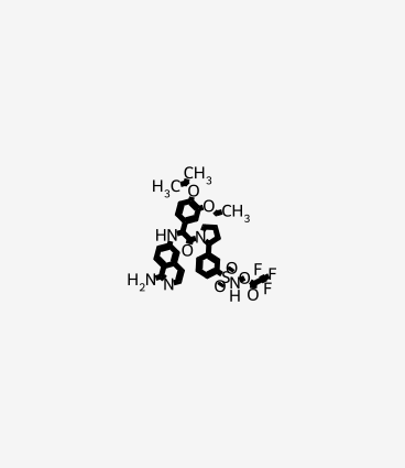 CCOc1cc(C(Nc2ccc3c(N)nccc3c2)C(=O)N2CCCC2c2cccc(S(=O)(=O)NOC(=O)C(F)(F)F)c2)ccc1OC(C)C